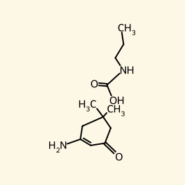 CC1(C)CC(=O)C=C(N)C1.CCCNC(=O)O